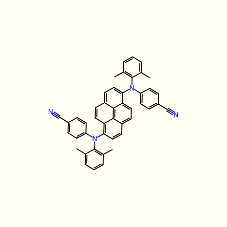 Cc1cccc(C)c1N(c1ccc(C#N)cc1)c1ccc2ccc3c(N(c4ccc(C#N)cc4)c4c(C)cccc4C)ccc4ccc1c2c43